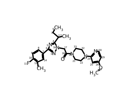 CCC(C)c1nc(-c2ccc(F)c(C)c2)nn1CC(=O)N1CCN(c2cc(OC)ccn2)CC1